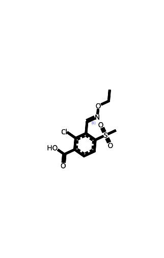 CCO/N=C/c1c(S(C)(=O)=O)ccc(C(=O)O)c1Cl